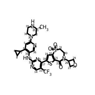 C[C@@H]1CN(c2cc(C3CC3)c(Nc3ncc(C(F)(F)F)c(-c4cc5c(s4)C(=O)N(C4COC4)CCS5(=O)=O)n3)cn2)CCN1